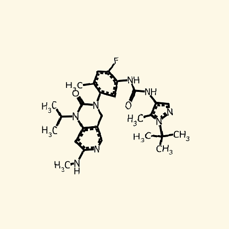 CNc1cc2c(cn1)CN(c1cc(NC(=O)Nc3cnn(C(C)(C)C)c3C)c(F)cc1C)C(=O)N2C(C)C